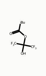 CCC(C)C(=O)OC(O)(C(F)(F)F)C(F)(F)F